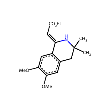 CCOC(=O)C=C1NC(C)(C)Cc2cc(OC)c(OC)cc21